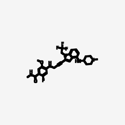 CNC(=O)c1cc(OC)c(NCC#Cc2cc3c(NC4CCN(C)CC4)cccc3n2CC(F)(F)F)cc1F